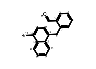 O=Cc1ccccc1Cc1ccc(Br)c2ccccc12